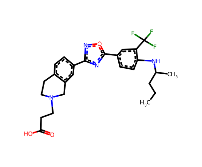 CCCC(C)Nc1ccc(-c2nc(-c3ccc4c(c3)CN(CCC(=O)O)CC4)no2)cc1C(F)(F)F